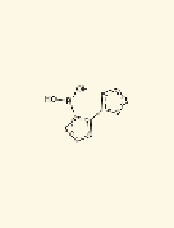 OB(O)c1sccc1-c1ccsc1